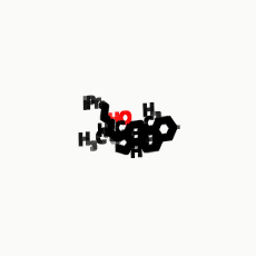 CC(C)CCC[C@@H](C)[C@H]1CC[C@H]2[C@@H]3CC=C4C[CH]CC[C@]4(C)[C@H]3CC(O)[C@]12C